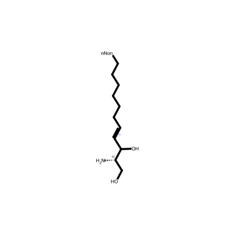 CCCCCCCCCCCCCCC/C=C/C(O)[C@@H](N)CO